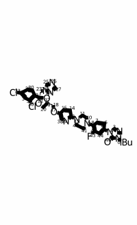 CCC(C)n1ncn(-c2ccc(N3CCN(c4ccc(OC[C@@H]5CO[C@@](Cn6cncn6)(c6ccc(Cl)cc6Cl)O5)cn4)CC3)c(F)c2)c1=O